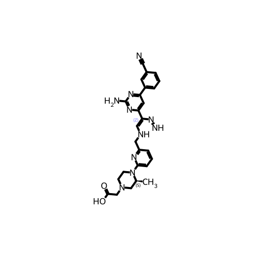 C[C@H]1CN(CC(=O)O)CCN1c1cccc(CN/C=C(\N=N)c2cc(-c3cccc(C#N)c3)nc(N)n2)n1